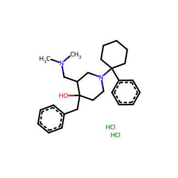 CN(C)CC1CN(C2(c3ccccc3)CCCCC2)CCC1(O)Cc1ccccc1.Cl.Cl